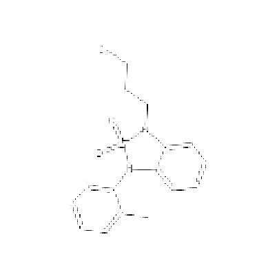 Cc1cccnc1N1c2ccccc2N(CCCCl)S1(=O)=O